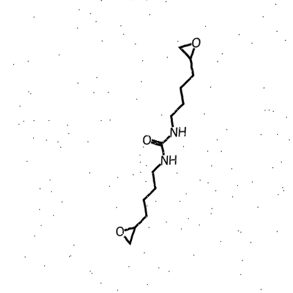 O=C(NCCCCC1CO1)NCCCCC1CO1